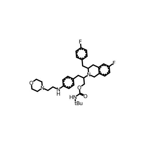 CC(C)(C)NC(=O)OCC(Cc1ccc(NCCN2CCOCC2)cc1)N1Cc2ccc(F)cc2CC1Cc1ccc(F)cc1